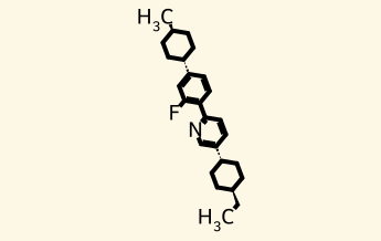 CC[C@H]1CC[C@H](c2ccc(-c3ccc([C@H]4CC[C@H](C)CC4)cc3F)nc2)CC1